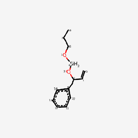 C=CC(O[SiH2]OCCC)c1ccccc1